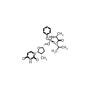 CC(C)OC(=O)[C@H](C)NP(=S)(OC[C@@H]1C[C@H](C)[C@H](n2ccc(=O)[nH]c2=O)O1)Oc1ccccc1